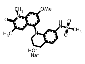 COc1cc(N2CCCc3ccc(NS(C)(=O)=O)cc32)c2cc(C)c(=O)n(C)c2c1.[Na+].[OH-]